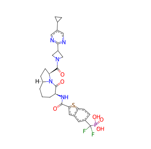 O=C(N[C@H]1CCC[C@H]2CC[C@@H](C(=O)N3CC(c4ncc(C5CC5)cn4)C3)N2C1=O)c1cc2cc(C(F)(F)P(=O)(O)O)ccc2s1